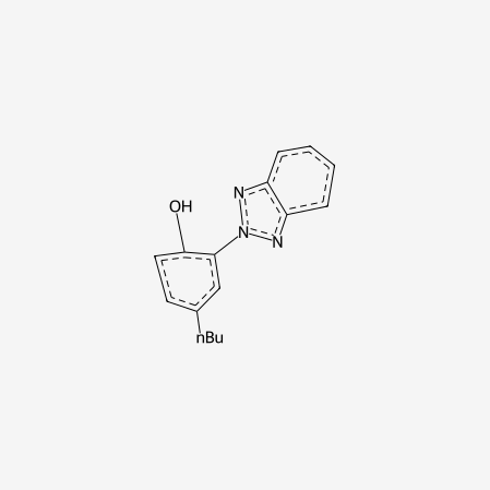 [CH2]CCCc1ccc(O)c(-n2nc3ccccc3n2)c1